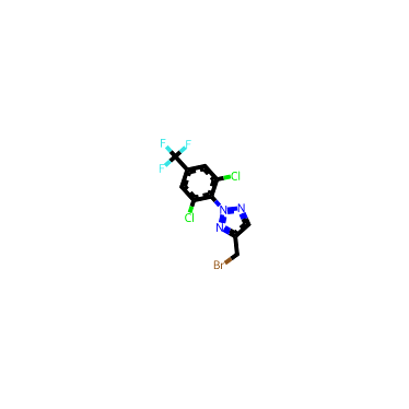 FC(F)(F)c1cc(Cl)c(-n2ncc(CBr)n2)c(Cl)c1